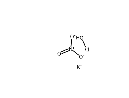 O=[N+]([O-])[O-].OCl.[K+]